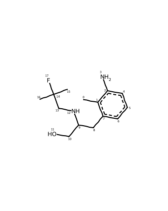 Cc1c(N)cccc1CC(CO)NCC(C)(C)F